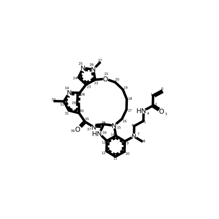 C=CC(=O)NCCN(C)c1cccc2c1N1CCCCCOc3c(cnn3C)-c3cc(cc(C)n3)C(=O)/N=C/1N2